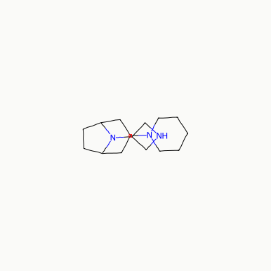 C1CCN(C2CC3CCC(C2)N3C2CNC2)CC1